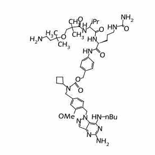 CCCCNc1nc(N)nc2cnn(Cc3ccc(CN(C(=O)OCc4ccc(NC(=O)[C@H](CCCNC(N)=O)NC(=O)C(NC(=O)C(C)(C)COC(C)(C)CCN)C(C)C)cc4)C4CCC4)cc3OC)c12